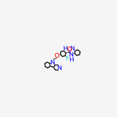 Nc1ccccc1NC(=O)c1ccc(OCCn2c3ccccc3c3ccncc32)cc1F